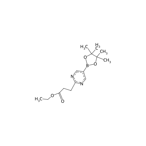 CCOC(=O)CCc1ncc(B2OC(C)(C)C(C)(C)O2)cn1